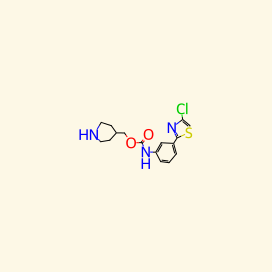 O=C(Nc1cccc(-c2nc(Cl)cs2)c1)OCC1CCNCC1